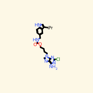 CC(C)c1c[nH]c2ccc(CNC(=O)OCCCCn3cnc4c(N)nc(Cl)nc43)cc12